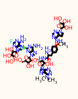 COc1ccc(C[C@H](N)C(=O)N[C@H]2[C@@H](O)[C@H](n3cnc4c(N(C)C)ncnc43)O[C@@H]2CO)cc1.Nc1nc(Cl)nc2c1ncn2[C@H]1C[C@H](O)[C@@H](CO)O1.Nc1nc(F)nc2c1ncn2[C@@H]1O[C@H](CO)[C@@H](O)[C@@H]1O.Nc1ncnc2c1ccn2[C@@H]1O[C@H](CO)[C@@H](O)[C@H]1O